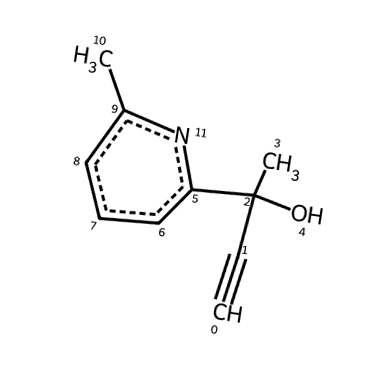 C#CC(C)(O)c1cccc(C)n1